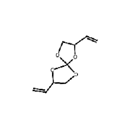 C=CC1COC2(OCC(C=C)O2)O1